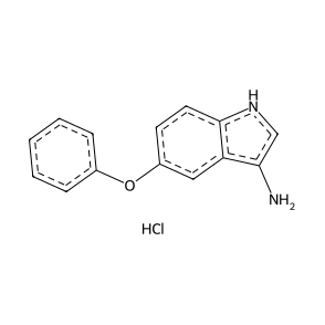 Cl.Nc1c[nH]c2ccc(Oc3ccccc3)cc12